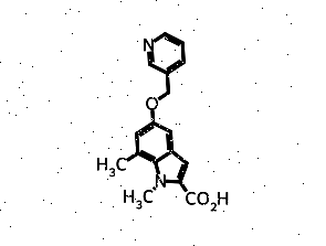 Cc1cc(OCc2cccnc2)cc2cc(C(=O)O)n(C)c12